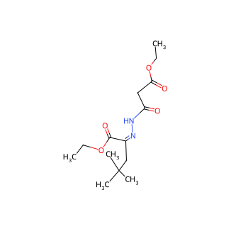 CCOC(=O)CC(=O)NN=C(CC(C)(C)C)C(=O)OCC